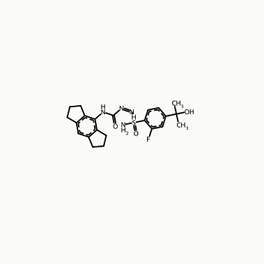 CC(C)(O)c1ccc([SH](N)(=O)/N=N\C(=O)Nc2c3c(cc4c2CCC4)CCC3)c(F)c1